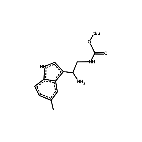 Cc1ccc2[nH]cc(C(N)CNC(=O)OC(C)(C)C)c2c1